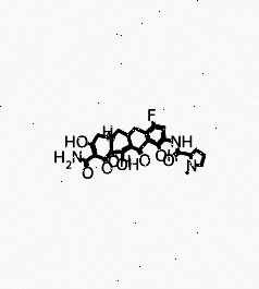 CN1CCCC1C(=O)Nc1cc(F)c2c(c1O)C(=O)C1=C(O)[C@]3(O)C(=O)C(C(N)=O)=C(O)C[C@@H]3CC1C2